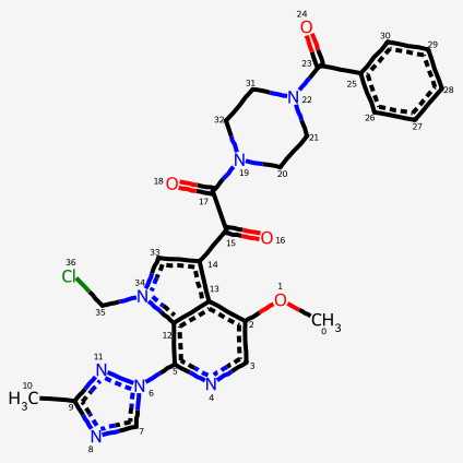 COc1cnc(-n2cnc(C)n2)c2c1c(C(=O)C(=O)N1CCN(C(=O)c3ccccc3)CC1)cn2CCl